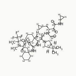 CN(C(C)(C)C(F)(F)F)S(=O)(=O)CC1(NC(=O)N[C@H](C(=O)N2C[C@H]3[C@@H]([C@H]2C(=O)N[C@@H](CC2CC2)C(=O)C(=O)NC2CC2)C3(C)C)C2(C)CCCCC2)CCCCC1